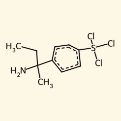 CCC(C)(N)c1ccc(S(Cl)(Cl)Cl)cc1